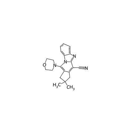 CC1(C)Cc2c(c(N3CCOCC3)n3c(nc4ccccc43)c2C#N)C1